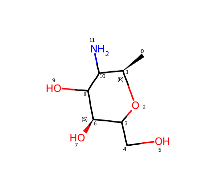 C[C@H]1OC(CO)[C@@H](O)C(O)C1N